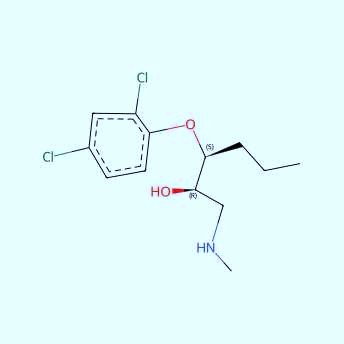 CCC[C@H](Oc1ccc(Cl)cc1Cl)[C@H](O)CNC